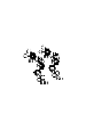 CC(C)(C)OC(=O)N1CCCC(c2ccc3ncnc(Nc4ccc(Cl)c(Cl)c4F)c3n2)C1.CC(C)(C)OC(=O)N1CCC[C@@H](c2ccc3ncnc(Nc4ccc(Cl)c(Cl)c4F)c3n2)C1